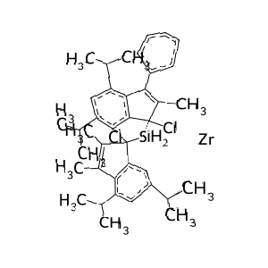 CC1=C(C)C(Cl)([SiH2]C2(Cl)C(C)=C(c3ccccc3)c3c(C(C)C)cc(C(C)C)cc32)c2cc(C(C)C)cc(C(C)C)c21.[Zr]